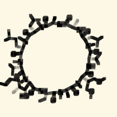 C/C=C/C[C@@H](C)[C@@H](O)[C@H]1C(=O)N[C@@H](CC)C(=O)N(C)[C@H](C)C(=O)N(C)[C@@H](C(COC)COC)C(=O)N[C@@H](C(C)C)C(=O)N(C)[C@@H](CC(C)C)C(=O)N[C@@H](C)C(=O)N[C@H](C)C(=O)N(C)[C@@H](CC(C)C)C(=O)N(C)[C@@H](CCC(C)C)C(=O)N(C)[C@@H](C(C)C)C(=O)N1C